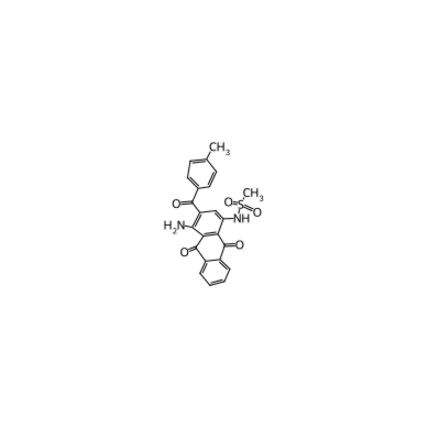 Cc1ccc(C(=O)c2cc(NS(C)(=O)=O)c3c(c2N)C(=O)c2ccccc2C3=O)cc1